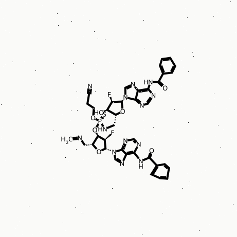 C=NC[C@H]1O[C@@H](n2cnc3c(NC(=O)c4ccccc4)ncnc32)[C@H](F)[C@@H]1OP(=S)(NC[C@H]1O[C@@H](n2cnc3c(NC(=O)c4ccccc4)ncnc32)[C@H](F)[C@@H]1O)OCCC#N